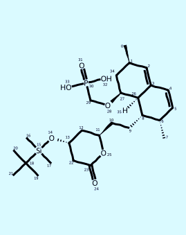 C[C@H]1C=C2C=C[C@H](C)[C@H](CC[C@@H]3C[C@@H](O[Si](C)(C)C(C)(C)C)CC(=O)O3)[C@H]2[C@@H](OCP(=O)(O)O)C1